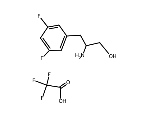 NC(CO)Cc1cc(F)cc(F)c1.O=C(O)C(F)(F)F